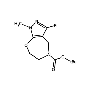 CCc1nn(C)c2c1CN(C(=O)OC(C)(C)C)CCO2